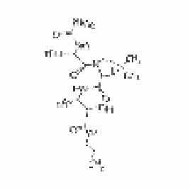 C=CCNC(=O)C(O)C(CCC)NC(=O)[C@@H]1C2C(CN1C(=O)[C@@H](NC(=O)NC)C(C)(C)C)C2(C)C